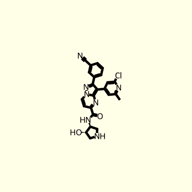 Cc1cc(-c2c(-c3cccc(C#N)c3)nn3ccc(C(=O)N[C@H]4CNC[C@@H]4O)nc23)cc(Cl)n1